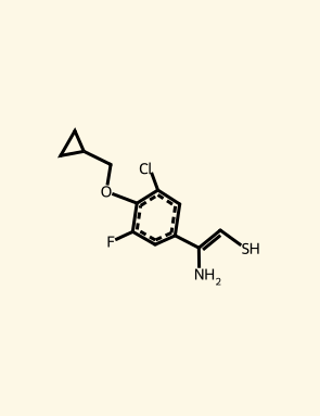 N/C(=C\S)c1cc(F)c(OCC2CC2)c(Cl)c1